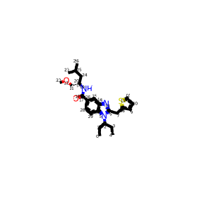 CCC(CC)n1c(Cc2cccs2)nc2cc(C(=O)N[C@H](COC)CC(C)C)ccc21